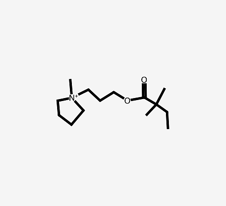 CCC(C)(C)C(=O)OCCC[N+]1(C)CCCC1